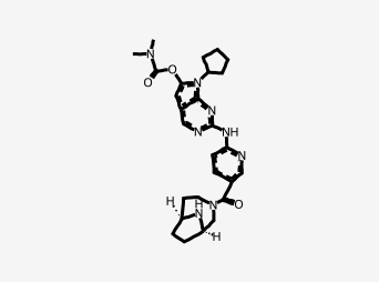 CN(C)C(=O)Oc1cc2cnc(Nc3ccc(C(=O)N4CC[C@@H]5CC[C@H](C4)N5)cn3)nc2n1C1CCCC1